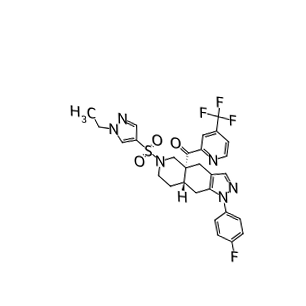 CCn1cc(S(=O)(=O)N2CC[C@H]3Cc4c(cnn4-c4ccc(F)cc4)C[C@]3(C(=O)c3cc(C(F)(F)F)ccn3)C2)cn1